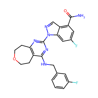 NC(=O)c1cc(F)cc2c1cnn2-c1nc2c(c(NCc3cccc(F)c3)n1)CCOCC2